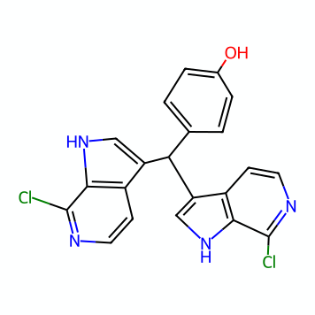 Oc1ccc(C(c2c[nH]c3c(Cl)nccc23)c2c[nH]c3c(Cl)nccc23)cc1